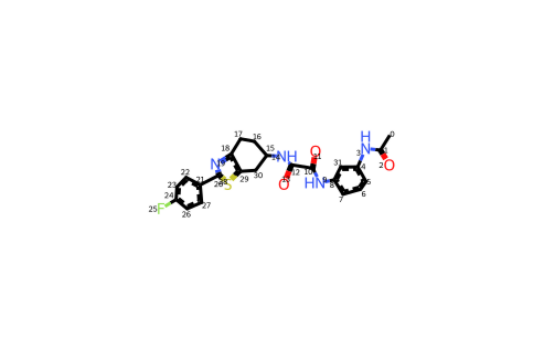 CC(=O)Nc1cccc(NC(=O)C(=O)NC2CCc3nc(-c4ccc(F)cc4)sc3C2)c1